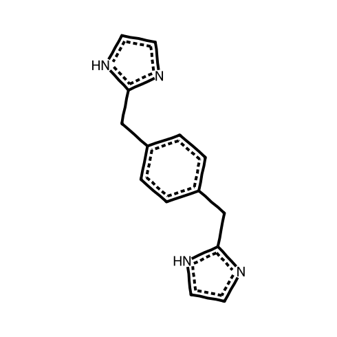 c1c[nH]c(Cc2ccc(Cc3ncc[nH]3)cc2)n1